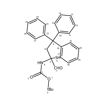 CC(C)(C)OC(=O)NC(S)(C=O)CC(c1ccccc1)(c1ccccc1)c1ccccc1